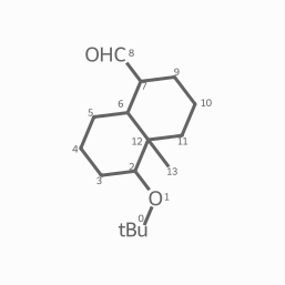 CC(C)(C)OC1CCCC2C(C=O)CCCC12C